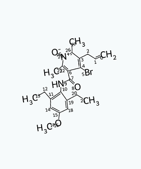 C=CCc1c(Br)c(C(=O)Nc2c(CC)cc(OC)cc2CC)c(C)[n+]([O-])c1C